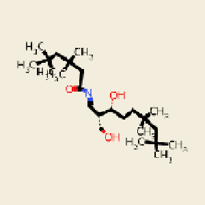 CC(C)(C)CC(C)(C)CC[C@@H](O)[C@@H](/C=N/C(=O)CC(C)(C)CC(C)(C)C)CO